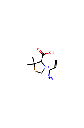 C=CCN.CC1(C)SCN[C@@H]1C(=O)O